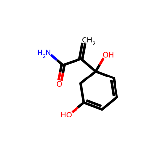 C=C(C(N)=O)C1(O)C=CC=C(O)C1